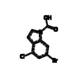 O=C(O)n1ccc2c(Cl)cc(Br)cc21